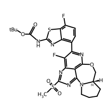 CC(C)(C)OC(=O)Nc1nc2c(-c3nc4c5c(nc(S(C)(=O)=O)nc5c3F)N3CCCC[C@H]3CO4)ccc(F)c2s1